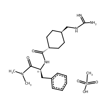 CN(C)C(=O)[C@H](Cc1ccccc1)NC(=O)[C@H]1CC[C@H](CNC(=N)N)CC1.CS(=O)(=O)O